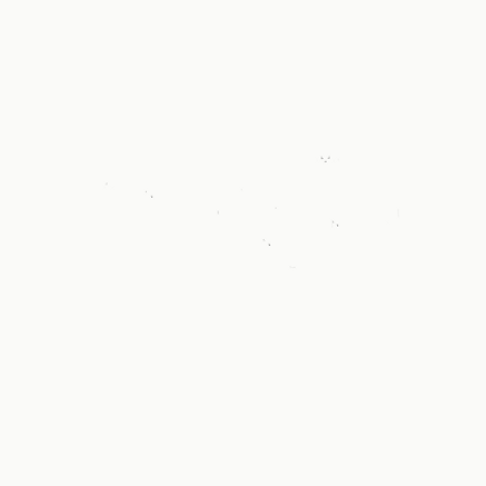 COCC12CN(C(=O)O)CC(=O)N1CC1(CCN(C(C)=O)CC1)O2